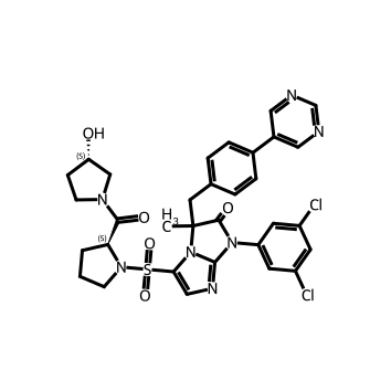 CC1(Cc2ccc(-c3cncnc3)cc2)C(=O)N(c2cc(Cl)cc(Cl)c2)c2ncc(S(=O)(=O)N3CCC[C@H]3C(=O)N3CC[C@H](O)C3)n21